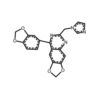 c1cn(Cc2nc(-c3ccc4c(c3)OCO4)c3cc4c(cc3n2)OCO4)cn1